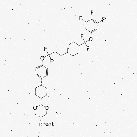 CCCCCC1COC(C2CCC(c3ccc(OC(F)(F)CCC4CCC(C(F)(F)Oc5cc(F)c(F)c(F)c5)CC4)cc3)CC2)OC1